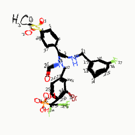 CS(=O)(=O)c1ccc(/C(=C/NCc2cccc(F)c2)N(C=O)Cc2ccc(C(F)(F)P(=O)(O)O)c(Br)c2)cc1